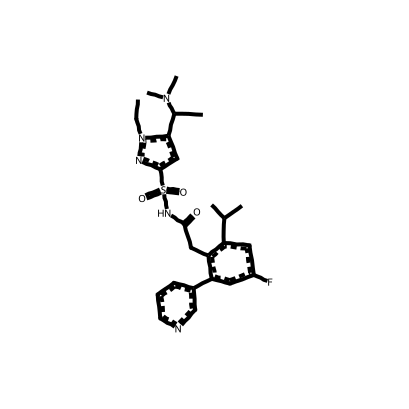 CCn1nc(S(=O)(=O)NC(=O)Cc2c(-c3cccnc3)cc(F)cc2C(C)C)cc1C(C)N(C)C